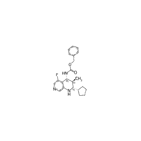 C[C@@H]1[C@@H](NC(=O)OCc2ccccc2)c2c(F)cncc2N[C@H]1C1CCCC1